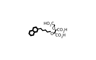 O=C(O)CO[C@@H](C(=O)O)[C@@H](OCCCCCc1ccc2ccccc2c1)C(=O)O